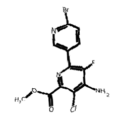 COC(=O)c1nc(-c2ccc(Br)nc2)c(F)c(N)c1Cl